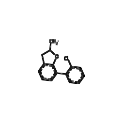 [CH2]C1Cc2cccc(-c3ccccc3Cl)c2O1